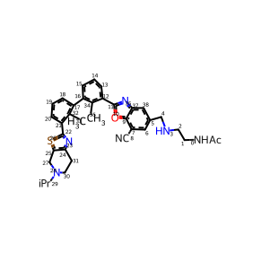 CC(=O)NCCNCc1cc(C#N)c2oc(-c3cccc(-c4cccc(-c5nc6c(s5)CN(C(C)C)CC6)c4C)c3C)nc2c1